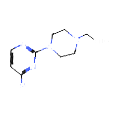 Nc1ccnc(N2CCN(CC=O)CC2)n1